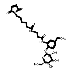 CC(=O)OCc1ccc(O[C@@H]2O[C@H](CO)[C@H](O)[C@H](O)[C@H]2O)c(NC(=O)CCNC(=O)CCCCCN2C(=O)C=CC2=O)c1